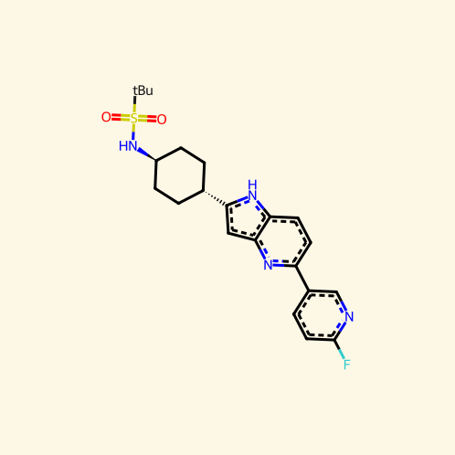 CC(C)(C)S(=O)(=O)N[C@H]1CC[C@H](c2cc3nc(-c4ccc(F)nc4)ccc3[nH]2)CC1